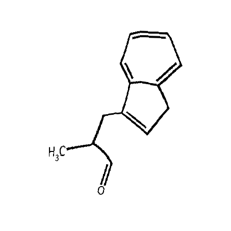 CC(C=O)CC1=CCc2ccccc21